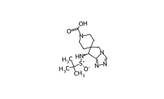 CC(C)(C)[S@@+]([O-])N[C@@H]1c2nncn2CC12CCN(C(=O)O)CC2